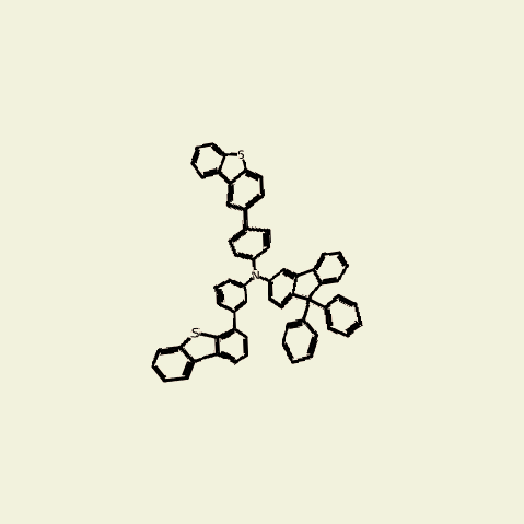 c1ccc(C2(c3ccccc3)c3ccccc3-c3cc(N(c4ccc(-c5ccc6sc7ccccc7c6c5)cc4)c4cccc(-c5cccc6c5sc5ccccc56)c4)ccc32)cc1